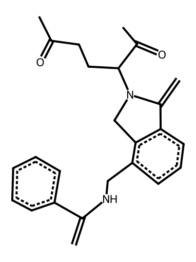 C=C(NCc1cccc2c1CN(C(CCC(C)=O)C(C)=O)C2=C)c1ccccc1